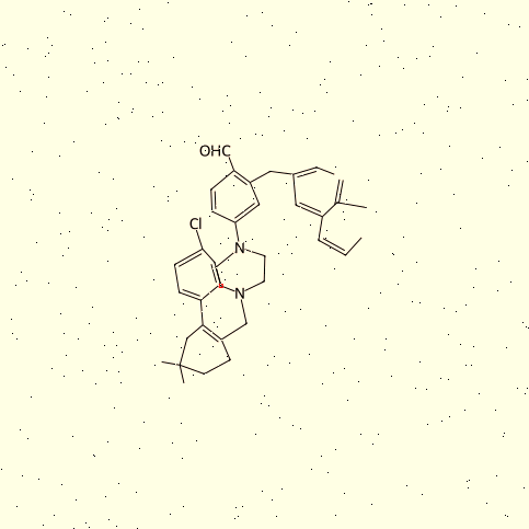 C=C(C)C(/C=C\C)=C\C(=C/C)Cc1cc(N2CCN(CC3=C(c4ccc(Cl)cc4)CC(C)(C)CC3)CC2)ccc1C=O